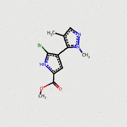 COC(=O)c1cc(-c2c(C)cnn2C)c(Br)[nH]1